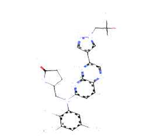 COc1cc(OC)c(F)c(N(CC2CCC(=O)N2)c2ccc3ncc(-c4cnn(CC(C)(C)O)c4)nc3n2)c1